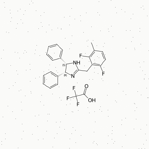 Cc1ccc(F)c(CC2=N[C@H](c3ccccc3)[C@H](c3ccccc3)N2)c1F.O=C(O)C(F)(F)F